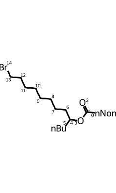 CCCCCCCCCC(=O)OC(CCCC)CCCCCCCCBr